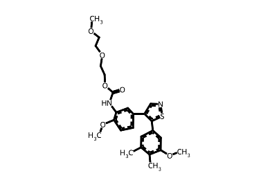 COCCOCCOC(=O)Nc1cc(-c2cnsc2-c2cc(C)c(C)c(OC)c2)ccc1OC